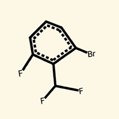 Fc1cccc(Br)c1C(F)F